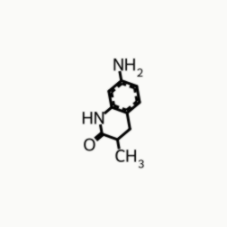 CC1Cc2ccc(N)cc2NC1=O